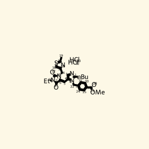 CCCCc1ncc(C=C2C(=O)N(CC)C(=O)N2Cc2csc(C)n2)n1Cc1ccc(C(=O)OC)cc1.Cl.Cl